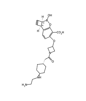 NCCN[C@H]1CC[C@H](CC(=O)N2CC(Oc3ccc4c(c3C(=O)O)OB(O)[C@@H]3C#C[C@H]43)C2)CC1